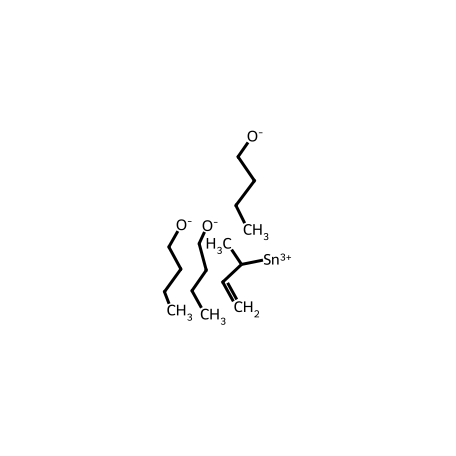 C=C[CH](C)[Sn+3].CCCC[O-].CCCC[O-].CCCC[O-]